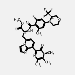 COC(=O)[C@H](Cc1ccc(-c2nc(C)c(C)n(C)c2=O)c2nccn12)NC(=O)c1c(C)cc(N2CCOC[C@@H]2C(F)(F)F)cc1F